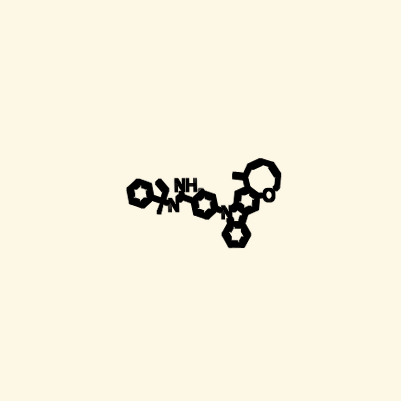 C=C[C@](C)(/N=C(\N)c1ccc(-n2c3ccccc3c3cc4c(cc32)C(=C)/C=C\C=C/CO4)cc1)c1ccccc1